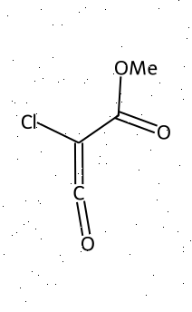 COC(=O)C(Cl)=C=O